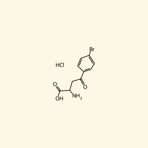 Cl.NC(CC(=O)c1ccc(Br)cc1)C(=O)O